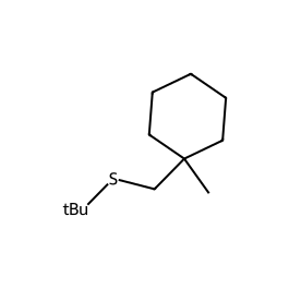 CC1(CSC(C)(C)C)CCCCC1